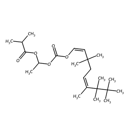 C/C(=C/CC(C)(C)/C=C\OC(=O)OC(C)OC(=O)C(C)C)C(C)(C)C(C)(C)C